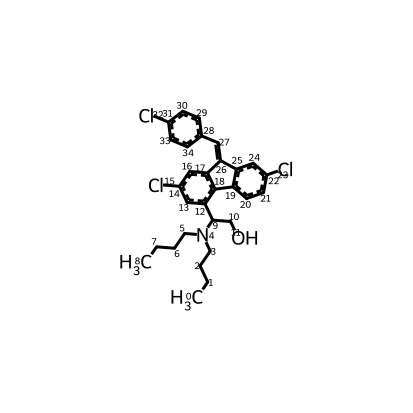 CCCCN(CCCC)C(CO)c1cc(Cl)cc2c1-c1ccc(Cl)cc1/C2=C/c1ccc(Cl)cc1